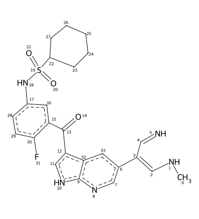 CN/C=C(\C=N)c1cnc2[nH]cc(C(=O)c3cc(NS(=O)(=O)C4CCCCC4)ccc3F)c2c1